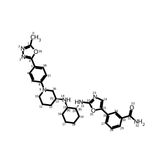 Cc1nnc(-c2ccc(N3CCC[C@H](N[C@@H]4CCCC[C@H]4Nc4ncc(-c5cccc(C(N)=O)c5)o4)C3)cc2)o1